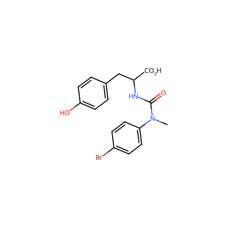 CN(C(=O)NC(Cc1ccc(O)cc1)C(=O)O)c1ccc(Br)cc1